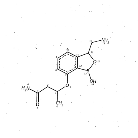 CC(CC(N)=O)Oc1cccc2c1B(O)OC2CN